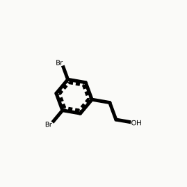 OCCc1cc(Br)cc(Br)c1